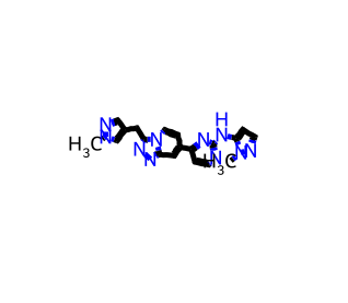 Cn1cc(Cc2nnc3cc(-c4ccnc(Nc5ccnn5C)n4)ccn23)cn1